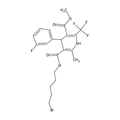 COC(=O)C1=C(C(F)(F)F)NC(C)=C(C(=O)OCCCCCBr)C1c1cccc(F)c1